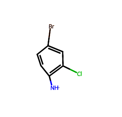 [NH]c1ccc(Br)cc1Cl